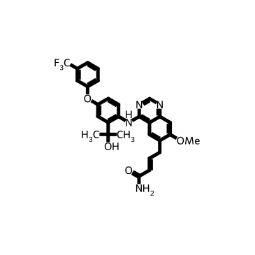 COc1cc2ncnc(Nc3ccc(Oc4cccc(C(F)(F)F)c4)cc3C(C)(C)O)c2cc1CC=CC(N)=O